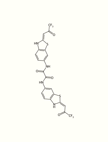 O=C(Nc1ccc2c(c1)SC(=CC(=O)C(F)(F)F)N2)C(=O)Nc1ccc2c(c1)SC(=CC(=O)C(F)(F)F)N2